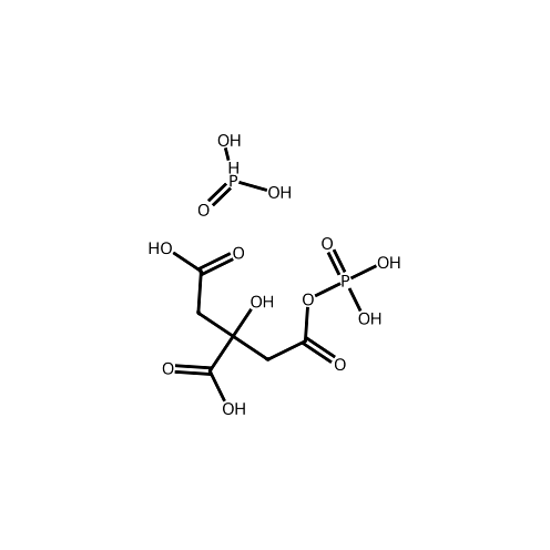 O=C(O)CC(O)(CC(=O)OP(=O)(O)O)C(=O)O.O=[PH](O)O